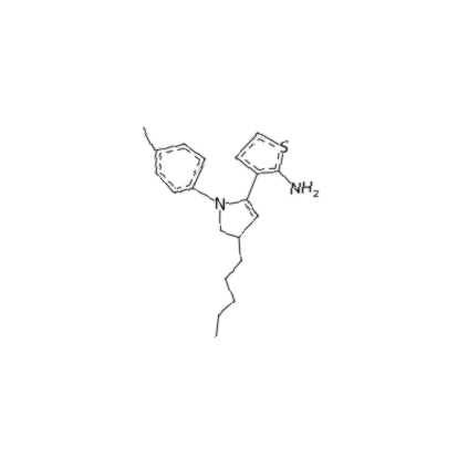 CCCCCC1C=C(c2ccsc2N)N(c2ccc(C)cc2)C1